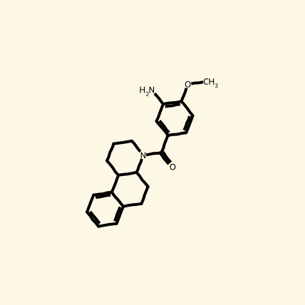 COc1ccc(C(=O)N2CCCC3c4ccccc4CCC32)cc1N